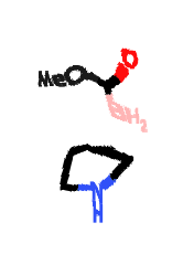 BC(=O)OC.C1CCNC1